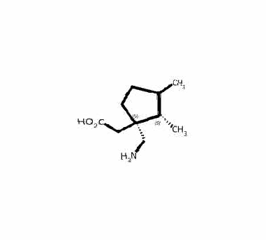 CC1CC[C@](CN)(CC(=O)O)[C@H]1C